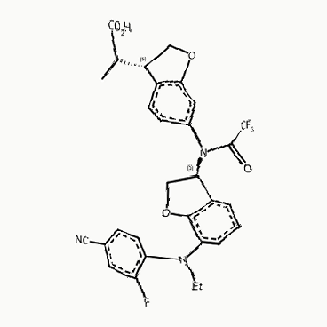 CCN(c1ccc(C#N)cc1F)c1cccc2c1OC[C@H]2N(C(=O)C(F)(F)F)c1ccc2c(c1)OC[C@H]2C(C)C(=O)O